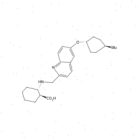 CC(C)(C)[C@H]1CC[C@H](Oc2ccc3nc(CN[C@H]4CCCC[C@@H]4C(=O)O)ccc3c2)CC1